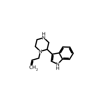 C=CCN1CCNCC1c1c[nH]c2ccccc12